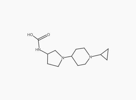 O=C(O)NC1CCN(C2CCN(C3CC3)CC2)C1